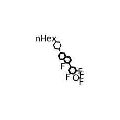 CCCCCCC1CCC(c2ccc3c(F)c(-c4cc(F)c(OC(F)F)c(F)c4)ccc3c2)CC1